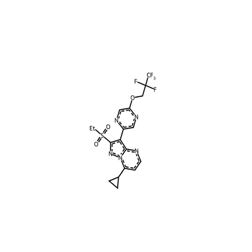 CCS(=O)(=O)c1nn2c(C3CC3)ccnc2c1-c1cnc(OCC(F)(F)C(F)(F)F)cn1